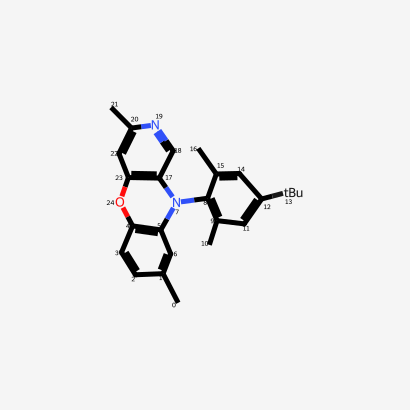 Cc1ccc2c(c1)N(c1c(C)cc(C(C)(C)C)cc1C)c1cnc(C)cc1O2